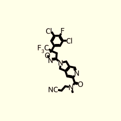 CN(CCC#N)C(=O)c1cc2c(cn1)CN(C1=NOC(c3cc(Cl)c(F)c(Cl)c3)(C(F)(F)F)C1)C2